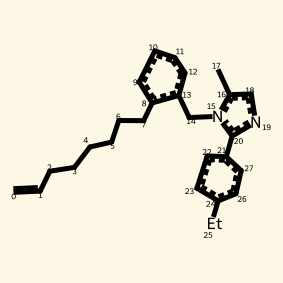 C=CCCCCCCc1ccccc1Cn1c(C)cnc1-c1ccc(CC)cc1